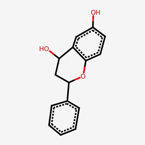 Oc1ccc2c(c1)C(O)CC(c1ccccc1)O2